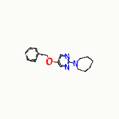 c1ccc(COc2cnc(N3CCCCCC3)nc2)cc1